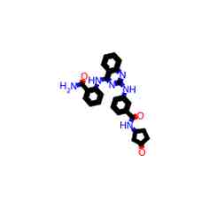 NC(=O)c1ccccc1Nc1nc(Nc2cccc(C(=O)NC3CCC(=O)C3)c2)nc2ccccc12